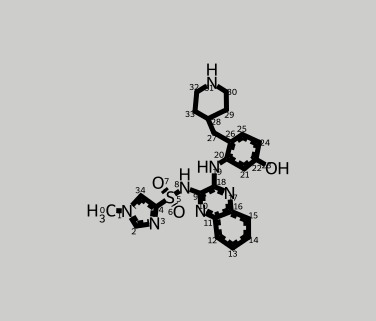 Cn1cnc(S(=O)(=O)Nc2nc3ccccc3nc2Nc2cc(O)ccc2CC2CCNCC2)c1